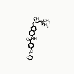 CN(C)CCN(C)Cc1ccc2c(c1)CC[C@H](NC(=O)c1ccc(OC[C@@H]3CCCO3)cc1)C2